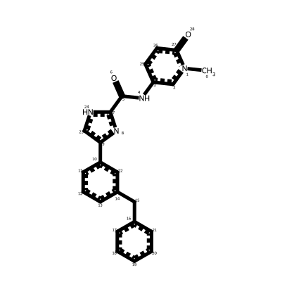 Cn1cc(NC(=O)c2nc(-c3cccc(Cc4ccccc4)c3)c[nH]2)ccc1=O